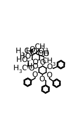 CC(=O)C(O)[C@H]1O[C@H](O[C@H]2[C@@H](O)[C@@H](OCc3ccccc3)[C@H](OCc3ccccc3)[C@@H](OCc3ccccc3)[C@@H]2OCc2ccccc2)[C@](O)(C(C)=O)[C@](O)(C(C)=O)[C@@]1(O)C(C)=O